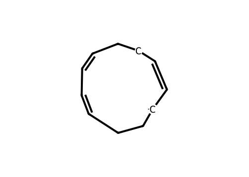 [CH]1C=CCCC=CC=CCC1